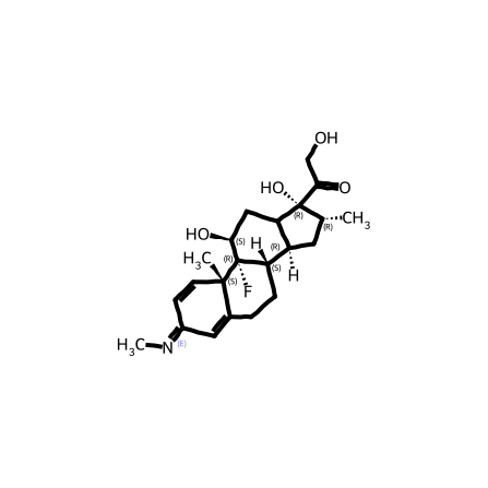 C/N=C1\C=C[C@@]2(C)C(=C1)CC[C@H]1[C@@H]3C[C@@H](C)[C@](O)(C(=O)CO)C3C[C@H](O)[C@@]12F